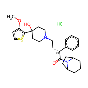 COc1ccsc1C1(O)CCN(CC[C@@H](C(=O)N2C3CCCC2CC3)c2ccccc2)CC1.Cl